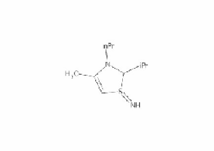 CCCN1C(C)=CS(=N)C1C(C)C